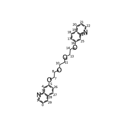 c1cnc2cc(OCCOCCOCCOc3ccc4cccnc4c3)ccc2c1